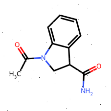 CC(=O)N1CC(C(N)=O)c2c[c]ccc21